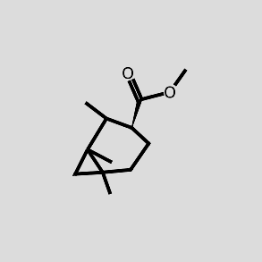 COC(=O)[C@H]1CCC2(C)CC2(C)C1C